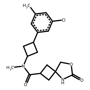 Cc1cc(Cl)cc(C2CC(N(C)C(=O)C3CC4(COC(=O)N4)C3)C2)c1